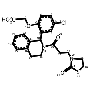 O=C(O)COc1ccc(Cl)cc1C1c2ccccc2CCN1C(=O)CCN1CCSC1=O